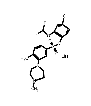 Cc1ccc(NS(=O)(=O)c2ccc(C)c(N3CCN(C)CC3)c2)c(OC(F)F)c1.Cl